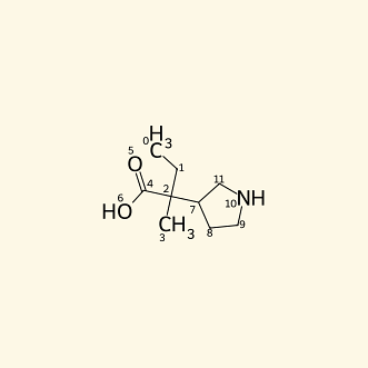 CCC(C)(C(=O)O)C1CCNC1